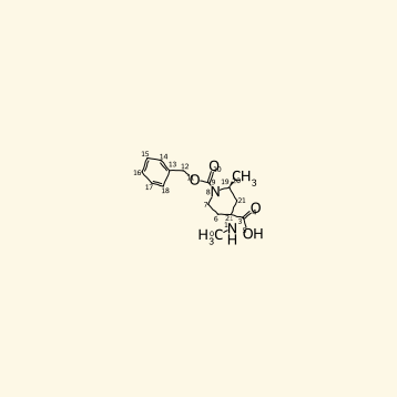 CN[C@]1(C(=O)O)CCN(C(=O)OCc2ccccc2)[C@@H](C)C1